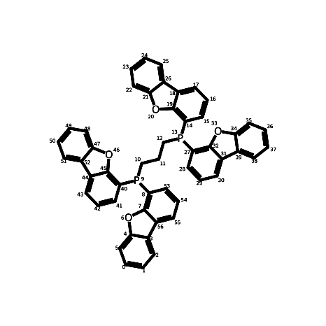 c1ccc2c(c1)oc1c(P(CCCP(c3cccc4c3oc3ccccc34)c3cccc4c3oc3ccccc34)c3cccc4c3oc3ccccc34)cccc12